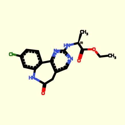 CCOC(=O)[C@H](C)Nc1ncc2c(n1)-c1ccc(Cl)cc1NC(=O)C2